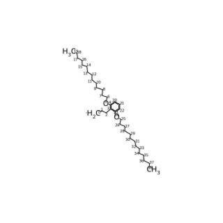 [CH2]CCc1c(OCCCCCCCCCCCCCC)cccc1OCCCCCCCCCCCCCC